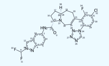 O=C(Nc1ccc2nn(C(F)F)cc2c1)[C@@H]1CC[C@H]2CCC(c3c(-n4cnnn4)ccc(Cl)c3F)=CCN21